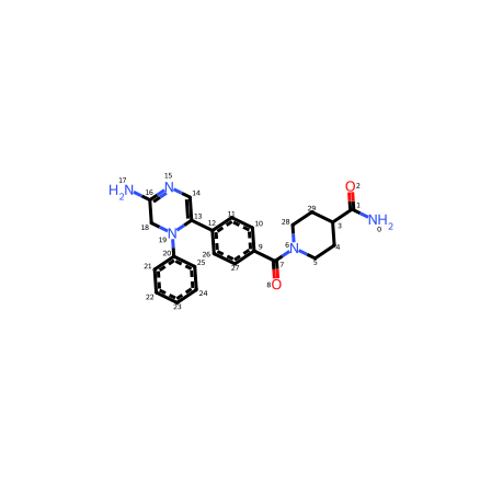 NC(=O)C1CCN(C(=O)c2ccc(C3=CN=C(N)CN3c3ccccc3)cc2)CC1